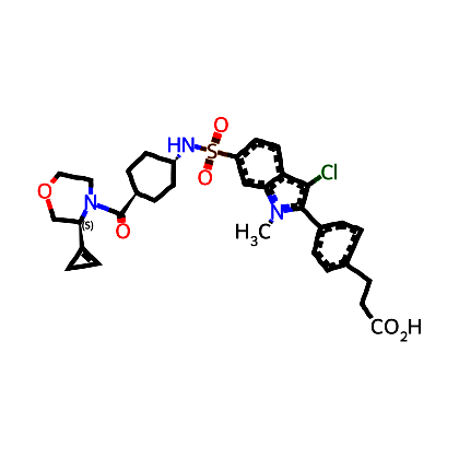 Cn1c(-c2ccc(CCC(=O)O)cc2)c(Cl)c2ccc(S(=O)(=O)N[C@H]3CC[C@H](C(=O)N4CCOC[C@@H]4C4=CC4)CC3)cc21